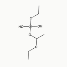 CCOC(C)O[Si](O)(O)OCC